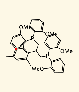 COc1ccccc1P(CC(CP(c1ccccc1OC)c1ccccc1OC)c1c(C)cc(C)cc1C)c1ccccc1OC